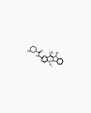 CCN1/C(=C(\C#N)c2nc(NC(=O)C3CCCNC3)ncc2C)Nc2ccccc21